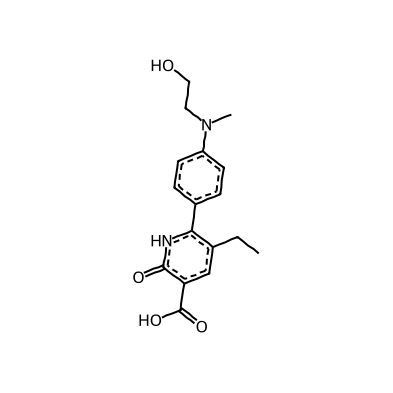 CCc1cc(C(=O)O)c(=O)[nH]c1-c1ccc(N(C)CCO)cc1